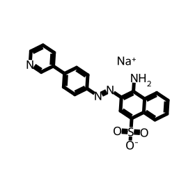 Nc1c(N=Nc2ccc(-c3cccnc3)cc2)cc(S(=O)(=O)[O-])c2ccccc12.[Na+]